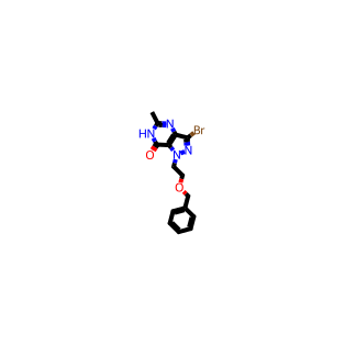 Cc1nc2c(Br)nn(CCOCc3ccccc3)c2c(=O)[nH]1